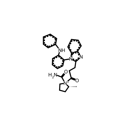 C[C@@H]1CCC[N+]1(C(N)=O)C(=O)CCc1nc2ccccc2n1-c1ccccc1Nc1ccccc1